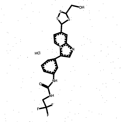 Cl.O=C(NCC(F)(F)F)Nc1cccc(-c2cnc3cc(C4SSC(CO)S4)ccn23)c1